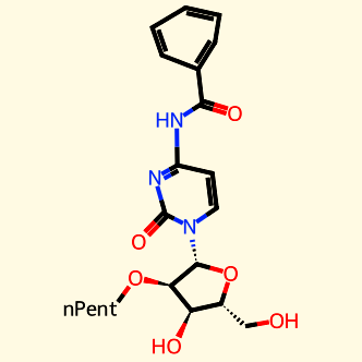 CCCCCO[C@@H]1[C@H](O)[C@@H](CO)O[C@H]1n1ccc(NC(=O)c2ccccc2)nc1=O